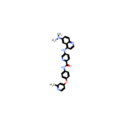 Cc1cc(Oc2ccc(NC(=O)c3ccc(Nc4ccnc5ccc(N(C)C)cc45)cn3)cc2)ccn1